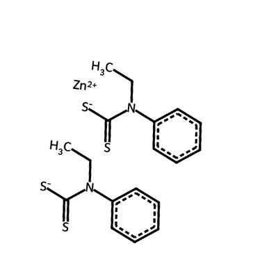 CCN(C(=S)[S-])c1ccccc1.CCN(C(=S)[S-])c1ccccc1.[Zn+2]